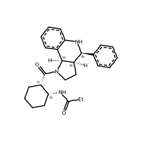 CCC(=O)N[C@@H]1CCCC[C@@H]1C(=O)N1CC[C@@H]2[C@H](c3ccccc3)Nc3ccccc3[C@@H]21